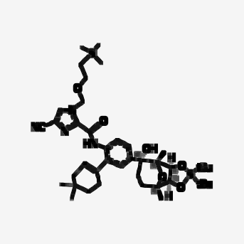 CC1(C)CC=C(c2cc([C@]3(O)CC[C@]4(C)O[C@@]3(C)[C@H]3O[Si](C(C)(C)C)(C(C)(C)C)O[C@H]34)ccc2NC(=O)c2nc(C#N)cn2COCC[Si](C)(C)C)CC1